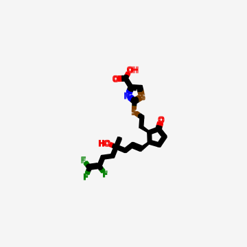 CC(O)(C/C=C/[C@@H]1CCC(=O)[C@@H]1CCSc1nc(C(=O)O)cs1)CCC(F)=C(F)F